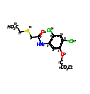 CCOC(=O)COc1cc(NC(=O)CSCC(=O)O)c(Cl)cc1Cl